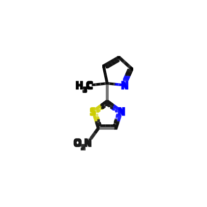 CC1(c2ncc([N+](=O)[O-])s2)C=CC=N1